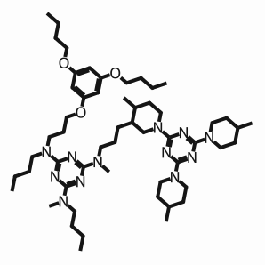 CCCCOc1cc(OCCCC)cc(OCCCN(CCCC)c2nc(N(C)CCCC)nc(N(C)CCCC3CN(c4nc(N5CCC(C)CC5)nc(N5CCC(C)CC5)n4)CCC3C)n2)c1